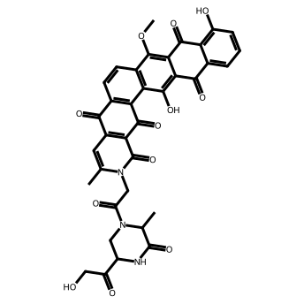 COc1c2ccc3c(=O)c4cc(C)n(CC(=O)N5CC(C(=O)CO)NC(=O)C5C)c(=O)c4c(=O)c3c2c(O)c2c(=O)c3cccc(O)c3c(=O)c12